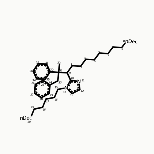 CCCCCCCCCCCCCCCCCCC(c1nccn1CCCCCCCCCCCCCCC)C(C)(Cc1ccccc1)c1ccccc1